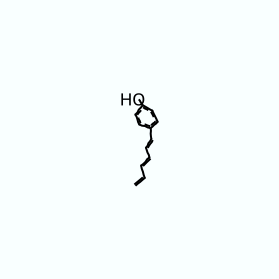 C=CC=CC=Cc1ccc(O)cc1